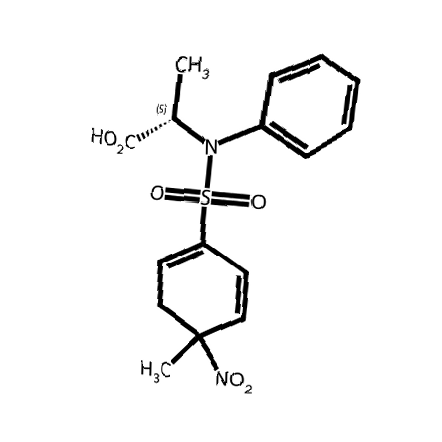 C[C@@H](C(=O)O)N(c1ccccc1)S(=O)(=O)C1=CCC(C)([N+](=O)[O-])C=C1